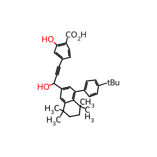 CC(C)(C)c1ccc(-c2cc(C(O)C#Cc3ccc(C(=O)O)c(O)c3)cc3c2C(C)(C)CCC3(C)C)cc1